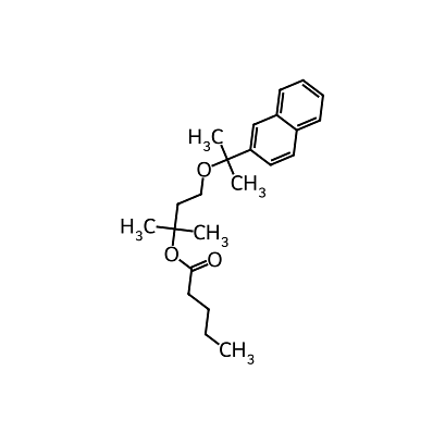 CCCCC(=O)OC(C)(C)CCOC(C)(C)c1ccc2ccccc2c1